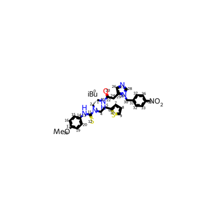 CC[C@H](C)[C@@H](CN(CCc1cccs1)C(=S)Nc1ccc(OC)cc1)NC(=O)Cc1cncn1Cc1ccc([N+](=O)[O-])cc1